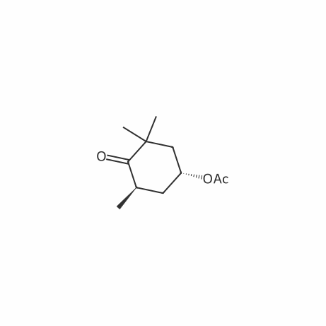 CC(=O)O[C@@H]1C[C@@H](C)C(=O)C(C)(C)C1